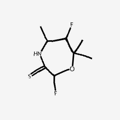 CC1NC(=S)C(F)OC(C)(C)C1F